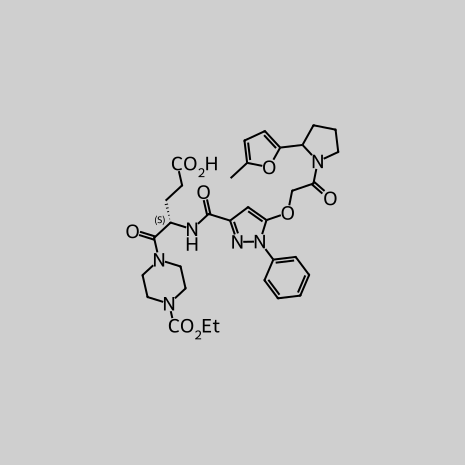 CCOC(=O)N1CCN(C(=O)[C@H](CCC(=O)O)NC(=O)c2cc(OCC(=O)N3CCCC3c3ccc(C)o3)n(-c3ccccc3)n2)CC1